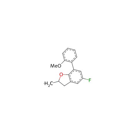 [CH2]C1Cc2cc(F)cc(-c3ccccc3OC)c2O1